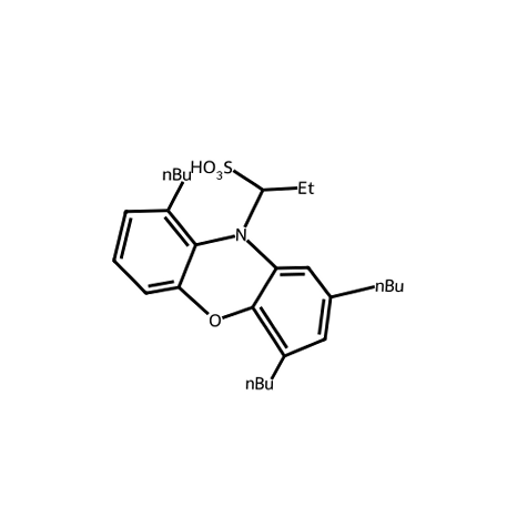 CCCCc1cc(CCCC)c2c(c1)N(C(CC)S(=O)(=O)O)c1c(CCCC)cccc1O2